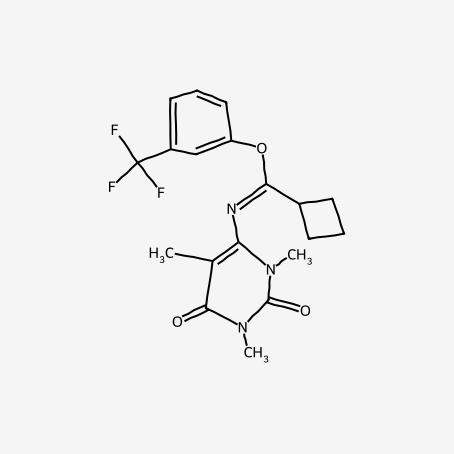 Cc1c(/N=C(/Oc2cccc(C(F)(F)F)c2)C2CCC2)n(C)c(=O)n(C)c1=O